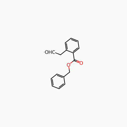 O=[C]Cc1ccccc1C(=O)OCc1ccccc1